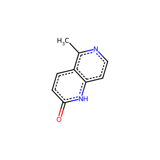 Cc1nccc2[nH]c(=O)ccc12